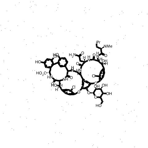 CN[C@H](CC(C)C)C(=O)N[C@H]1C(=O)N[C@@H](CC(N)=O)C(=O)N[C@H]2CN[C@H]3C(=O)N[C@H](C(=O)N[C@H](C(=O)O)c4cc(O)cc(O)c4-c4cc3ccc4O)[C@H](O)c3ccc(c(Cl)c3)Oc3cc2cc(c3O[C@@H]2OC(CO)C(O)[C@H](O)[C@H]2O)Oc2ccc(cc2Cl)[C@H]1O